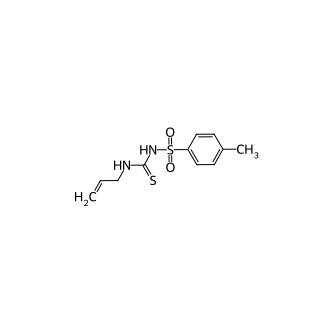 C=CCNC(=S)NS(=O)(=O)c1ccc(C)cc1